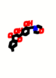 Cc1ccc2c(c1)OC(c1ccc(CN3CCOCC3)c(O)c1)C(O)C2=O